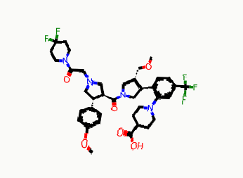 COC[C@H]1CN(C(=O)[C@@H]2CN(CC(=O)N3CCC(F)(F)CC3)C[C@H]2c2ccc(OC)cc2)C[C@@H]1c1ccc(C(F)(F)F)cc1N1CCC(C(=O)O)CC1